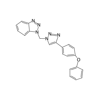 c1ccc(Oc2ccc(-c3cn(Cn4nnc5ccccc54)nn3)cc2)cc1